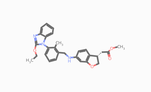 CCOc1nc2ccccc2n1-c1cccc(CNc2ccc3c(c2)OC[C@H]3CC(=O)OC)c1C